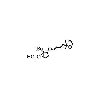 CC1(CCCCOC2CCN(C(=O)O)C2C(C)(C)C)OCCO1